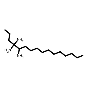 CCCCCCCCCCCC(N)C(N)(N)CCC